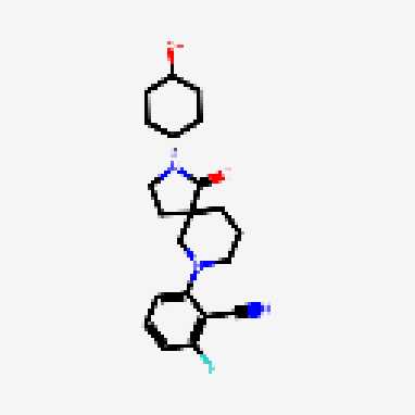 N#Cc1c(F)cccc1N1CCCC2(CCN([C@H]3CC[C@H](O)CC3)C2=O)C1